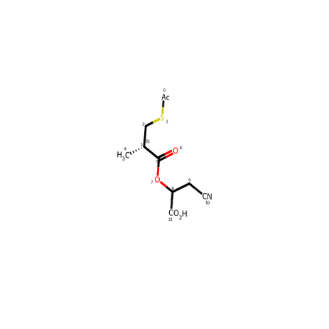 CC(=O)SC[C@@H](C)C(=O)OC(CC#N)C(=O)O